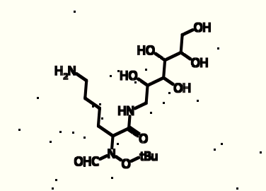 CC(C)(C)ON(C=O)C(CCCCN)C(=O)NCC(O)C(O)C(O)C(O)CO